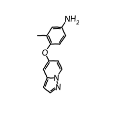 Cc1cc(N)ccc1Oc1ccn2nccc2c1